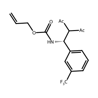 C=CCOC(=O)N[C@@H](c1cccc(C(F)(F)F)c1)C(C(C)=O)C(C)=O